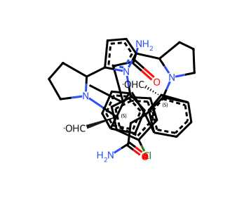 CC1(CC(N)=O)c2ccc(cc2)[C@]1([C]=O)N1CCCC1c1ccc(C2CCCN2[C@@]2([C]=O)c3ccc(cc3)C2(C)CC(N)=O)n1-c1ccc(Cl)cc1